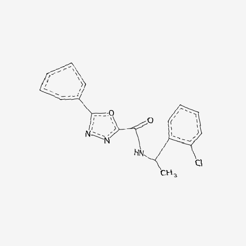 CC(NC(=O)c1nnc(-c2ccccc2)o1)c1ccccc1Cl